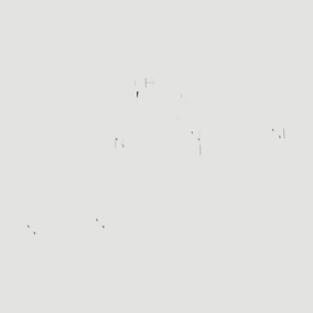 C[C@@H]1CN(c2ccc(C#N)c3ncccc23)C[C@H]1C(=O)NC1CCCNCC1